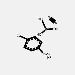 COc1ccc(Cl)cc1.F.N#N.OB(O)O